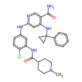 CN1CCC(C(=O)Nc2cc(Nc3cc(NC4(c5ccccc5)CC4)c(C(N)=O)cn3)ccc2Cl)CC1